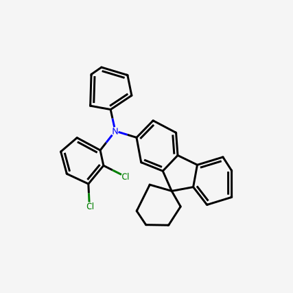 Clc1cccc(N(c2ccccc2)c2ccc3c(c2)C2(CCCCC2)c2ccccc2-3)c1Cl